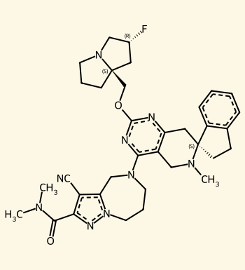 CN(C)C(=O)c1nn2c(c1C#N)CN(c1nc(OC[C@@]34CCCN3C[C@H](F)C4)nc3c1CN(C)[C@@]1(CCc4ccccc41)C3)CCC2